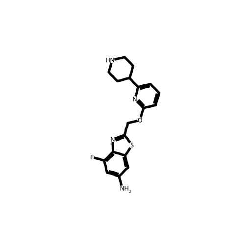 Nc1cc(F)c2nc(COc3cccc(C4CCNCC4)n3)sc2c1